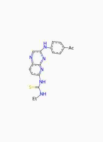 CCNC(=S)Nc1ccc2ncc(Nc3ccc(C(C)=O)cc3)nc2n1